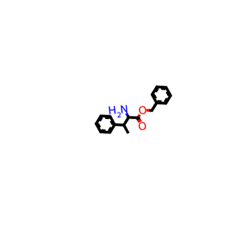 CC(c1ccccc1)C(N)C(=O)OCc1ccccc1